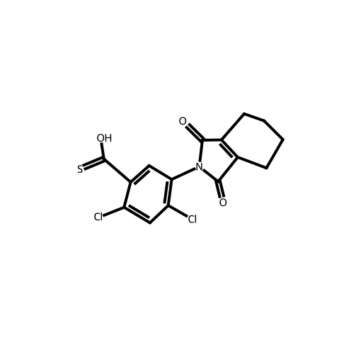 O=C1C2=C(CCCC2)C(=O)N1c1cc(C(O)=S)c(Cl)cc1Cl